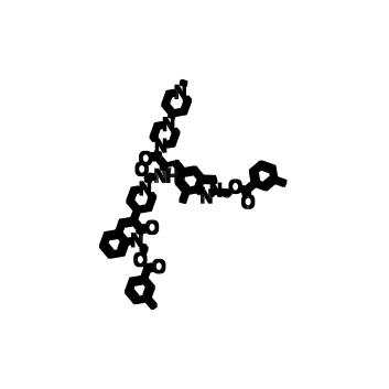 Cc1cccc(C(=O)OCn2cc3cc(C[C@@H](NC(=O)N4CCC(c5cc6ccccc6n(COC(=O)c6cccc(C)c6)c5=O)CC4)C(=O)N4CCN(C5CCN(C)CC5)CC4)cc(C)c3n2)c1